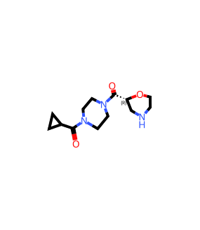 O=C(C1CC1)N1CCN(C(=O)[C@H]2CNCCO2)CC1